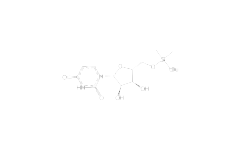 CC(C)(C)[Si](C)(C)OC[C@H]1O[C@@H](n2ccc(=O)[nH]c2=O)[C@H](O)[C@@H]1O